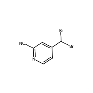 N#Cc1cc(C(Br)Br)ccn1